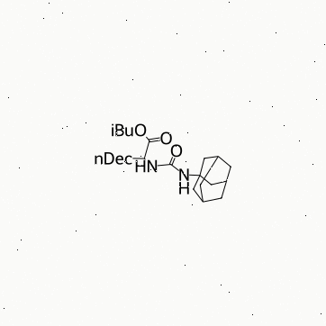 CCCCCCCCCCC(NC(=O)NC12CC3CC(CC(C3)C1)C2)C(=O)OCC(C)C